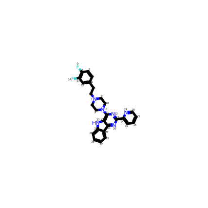 Fc1ccc(CCN2CCN(c3nc(-c4ccccn4)nc4c3[nH]c3ccccc34)CC2)cc1F